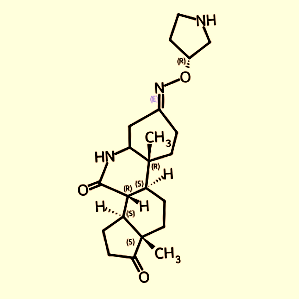 C[C@]12CC/C(=N\O[C@@H]3CCNC3)CC1NC(=O)[C@@H]1[C@@H]2CC[C@]2(C)C(=O)CC[C@@H]12